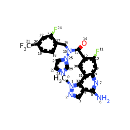 Cn1ncc2c(N)nc3cc(F)c(C(=O)N(Cc4ccc(C(F)(F)F)cc4F)n4ccnc4)cc3c21